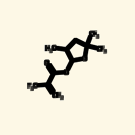 C=C(C(=O)OC1OC(C(F)(F)F)(C(F)(F)F)CC1C)C(F)(F)F